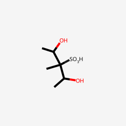 CC(O)C(C)(C(C)O)S(=O)(=O)O